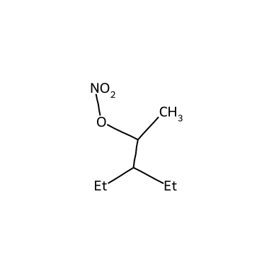 CCC(CC)C(C)O[N+](=O)[O-]